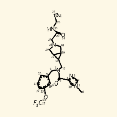 Cn1cnc(C(=O)N(Cc2cccc(OC(F)(F)F)c2)CC2C3CN(CC(=O)NCC(C)(C)C)CC32)c1